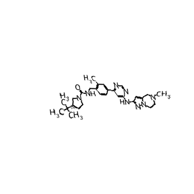 Cc1cc(-c2cc(Nc3cc4n(n3)CCN(C)C4)ncn2)ccc1CNC(=O)N1CC[C@@H](C(C)(C)C)C1